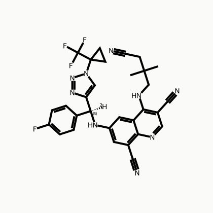 [2H][C@](Nc1cc(C#N)c2ncc(C#N)c(NCC(C)(C)CC#N)c2c1)(c1ccc(F)cc1)c1cn(C2(C(F)(F)F)CC2)nn1